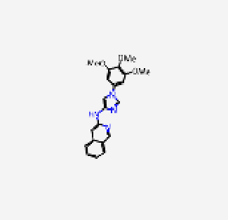 COc1cc(-n2cnc(Nc3cc4ccccc4cn3)c2)cc(OC)c1OC